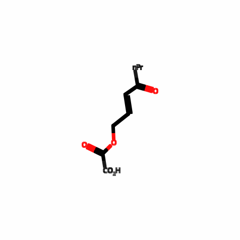 CCCC(=O)C=CCOC(=O)C(=O)O